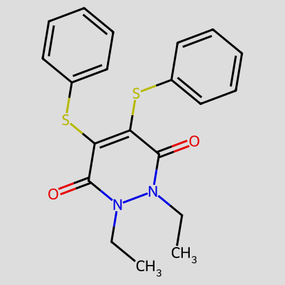 CCn1c(=O)c(Sc2ccccc2)c(Sc2ccccc2)c(=O)n1CC